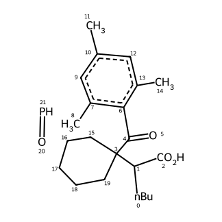 CCCCC(C(=O)O)C1(C(=O)c2c(C)cc(C)cc2C)CCCCC1.O=P